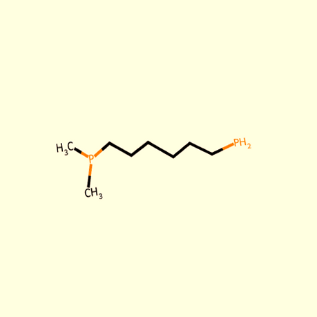 CP(C)CCCCCCP